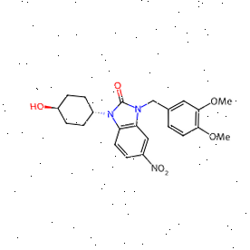 COc1ccc(Cn2c(=O)n([C@H]3CC[C@H](O)CC3)c3ccc([N+](=O)[O-])cc32)cc1OC